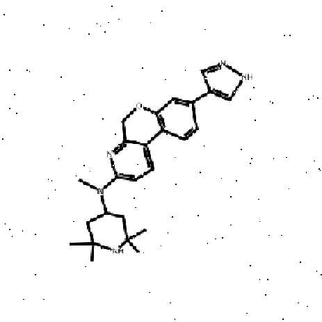 CN(c1ccc2c(n1)COc1cc(-c3cn[nH]c3)ccc1-2)C1CC(C)(C)NC(C)(C)C1